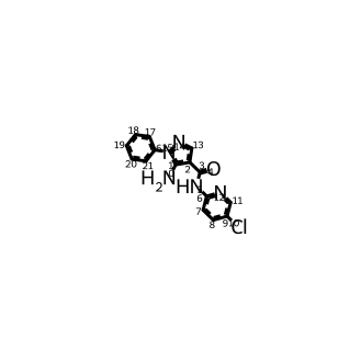 Nc1c(C(=O)Nc2ccc(Cl)cn2)cnn1-c1ccccc1